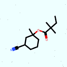 CCC(C)(C)C(=O)OC1(C)CCCC(C#N)C1